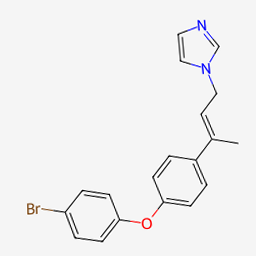 CC(=CCn1ccnc1)c1ccc(Oc2ccc(Br)cc2)cc1